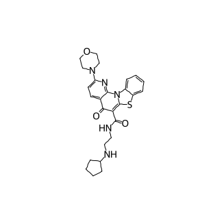 O=C(NCCNC1CCCC1)c1c(=O)c2ccc(N3CCOCC3)nc2n2c1sc1ccccc12